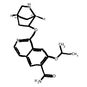 CC(C)Oc1cc2c(OC3C[C@@H]4CN[C@H]3C4)nccc2cc1C(N)=O